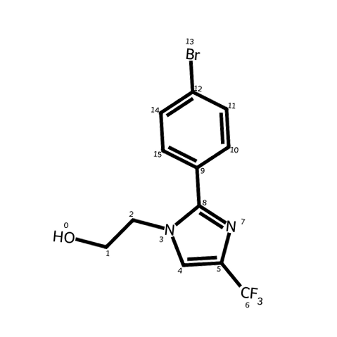 OCCn1cc(C(F)(F)F)nc1-c1ccc(Br)cc1